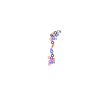 CC1(C)C(NC(=O)c2ccc(OCCCN3CCN(c4ccc5c(c4)C(=O)N(C4CCC(=O)NC4=O)C5=O)CC3)cc2)C2(C)c3ccnc4c(C#N)ccc(c34)O[C@@H]12